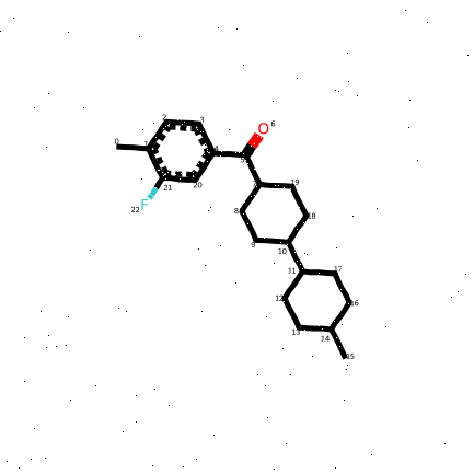 Cc1ccc(C(=O)C2CCC(C3CCC(C)CC3)CC2)cc1F